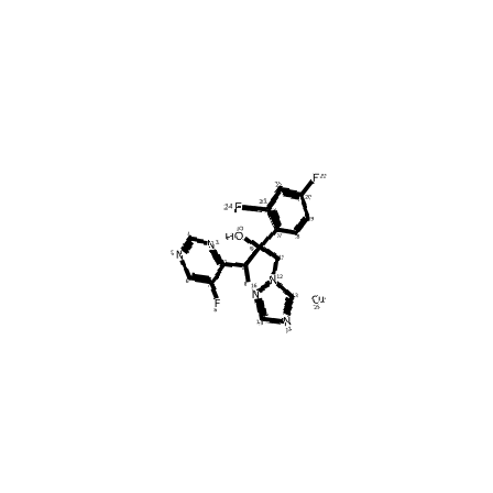 CC(c1ncncc1F)C(O)(Cn1cncn1)c1ccc(F)cc1F.[Cu]